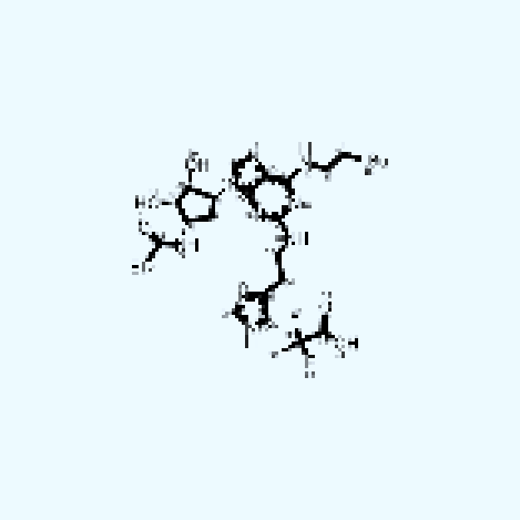 CCC(=O)N[C@H]1C[C@@H](n2cnc3c(NCCC(C)(C)C)nc(NCCc4c[nH]cn4)nc32)[C@H](O)[C@@H]1O.O=C(O)C(F)(F)F